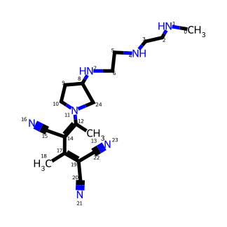 CNCCNCCNC1CCN(/C(C)=C(\C#N)C(C)=C(C#N)C#N)C1